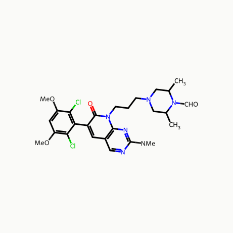 CNc1ncc2cc(-c3c(Cl)c(OC)cc(OC)c3Cl)c(=O)n(CCCN3CC(C)N(C=O)C(C)C3)c2n1